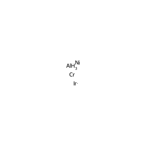 [AlH3].[Cr].[Ir].[Ni]